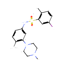 COc1ccc(NS(=O)(=O)c2cc(I)ccc2C)cc1N1CCN(C)CC1